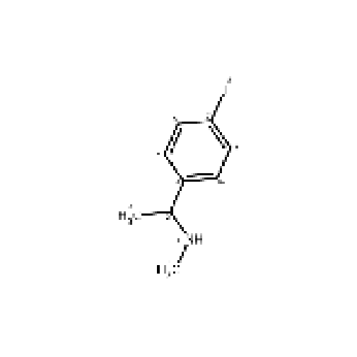 CNC(C)c1ccc(I)cc1